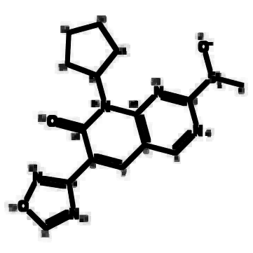 C[S+]([O-])c1ncc2cc(-c3ncon3)c(=O)n(C3CCCC3)c2n1